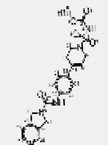 CC(C)(C)OC(=O)NS(=O)(=O)N1CC=C(c2ccc(NC(=O)N3Cc4ccncc4C3)cc2)CC1